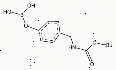 CC(C)(C)OC(=O)NCc1ccc(OB(O)O)cc1